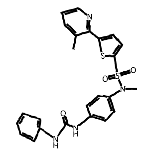 Cc1cccnc1-c1ccc(S(=O)(=O)N(C)c2ccc(NC(=O)Nc3ccccc3)cc2)s1